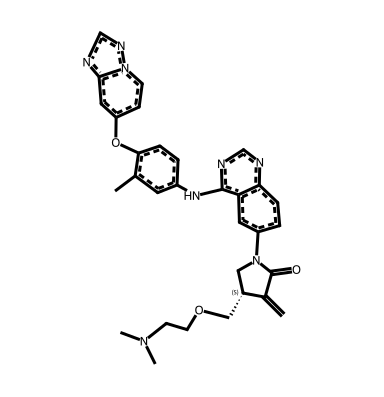 C=C1C(=O)N(c2ccc3ncnc(Nc4ccc(Oc5ccn6ncnc6c5)c(C)c4)c3c2)C[C@H]1COCCN(C)C